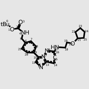 CC(C)(C)OC(=O)NCc1ccc(-c2cnc3ccc(NCCOC4CCCC4)nn23)cc1